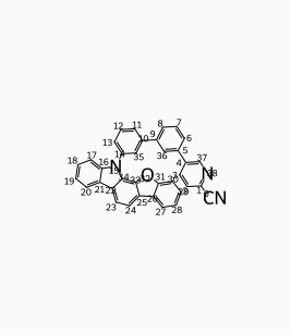 N#Cc1ccc(-c2cccc(-c3cccc(-n4c5ccccc5c5ccc6c7ccccc7oc6c54)c3)c2)cn1